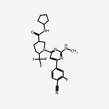 CNc1nc(-c2ccc(C#N)c(F)c2)cc(N2CC(C(=O)NC3CCCC3)CCC2C(F)(F)F)n1